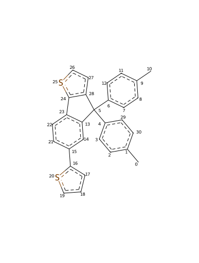 Cc1ccc(C2(c3ccc(C)cc3)c3cc(-c4cccs4)ccc3-c3sccc32)cc1